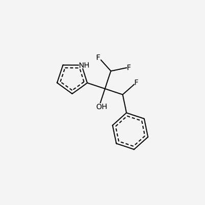 OC(c1ccc[nH]1)(C(F)F)C(F)c1ccccc1